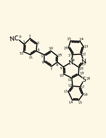 N#Cc1ccc(-c2ccc(-c3cc4c5ccccc5sc4c4nc5ccccc5n34)cc2)cc1